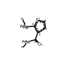 CNC(=O)c1ccsc1NC